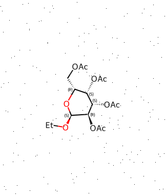 CCO[C@H]1O[C@H](COC(C)=O)[C@H](OC(C)=O)[C@H](OC(C)=O)[C@H]1OC(C)=O